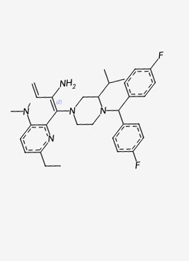 C=C/C(N)=C(\c1nc(CC)ccc1N(C)C)N1CCN(C(c2ccc(F)cc2)c2ccc(F)cc2)C(C(C)C)C1